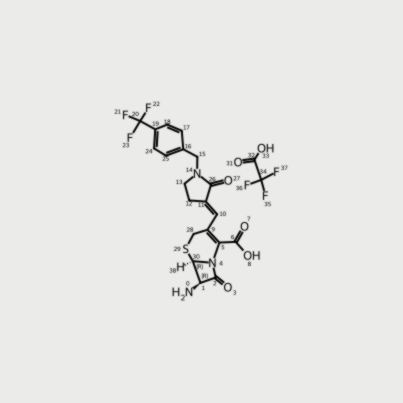 N[C@@H]1C(=O)N2C(C(=O)O)=C(C=C3CCN(Cc4ccc(C(F)(F)F)cc4)C3=O)CS[C@H]12.O=C(O)C(F)(F)F